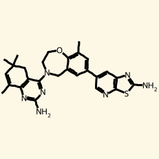 CC1=CC(C)(C)Cc2c1nc(N)nc2N1CCOc2c(C)cc(-c3cnc4sc(N)nc4c3)cc2C1